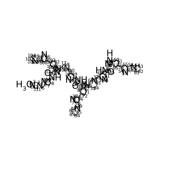 CN1CCN(Cc2ccc(NC(=O)c3nn(C4CCN(Cc5cncc(NC(=O)c6nn(C7CCCN(Cc8cncc(NC(=O)c9n[nH]c%10ccc(-c%11cncc(CN%12CCCCC%12)c%11)cc9%10)c8)C7)c7ccc(-c8cncc(CN9CCCCC9)c8)cc67)c5)C4)c4ccc(-c5cncc(CN6CCCC6)c5)cc34)cn2)CC1